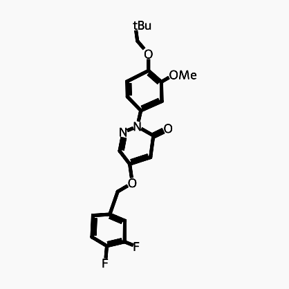 COc1cc(-n2ncc(OCc3ccc(F)c(F)c3)cc2=O)ccc1OCC(C)(C)C